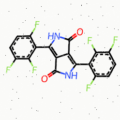 O=C1NC(c2c(F)ccc(F)c2F)=C2C(=O)NC(c3c(F)ccc(F)c3F)=C12